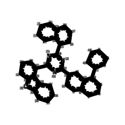 c1ccc(-c2cccc3ccc(-c4nc(-c5cccc6ccccc56)nc(-c5cccc6oc7ccccc7c56)n4)cc23)cc1